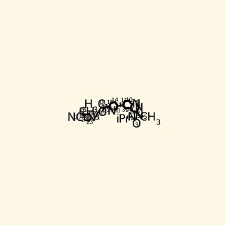 CC(C)n1c(=O)n(C)c2nnc3ccc(-c4ccc([C@@H](C)OCCN5CC[C@@](C)(C#N)C5)nc4)cc3c21